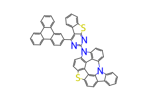 c1ccc2c(c1)sc1nc(-n3c4ccc5sc6ccc7c8ccccc8n8c9cccc3c9c4c5c6c78)nc(-c3ccc4c5ccccc5c5ccccc5c4c3)c12